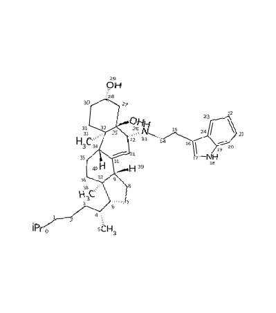 CC(C)CCC[C@@H](C)[C@H]1CC[C@H]2C3=C[C@@H](NCCc4c[nH]c5ccccc45)[C@@]4(O)C[C@@H](O)CC[C@]4(C)[C@H]3CC[C@]12C